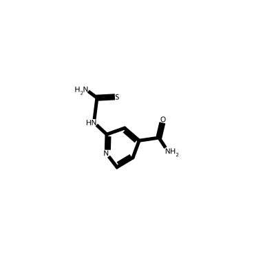 NC(=O)c1ccnc(NC(N)=S)c1